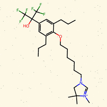 CCCc1cc(C(O)(C(F)(F)F)C(F)(F)F)cc(CCC)c1OCCCCCCN1C=[N+](C)C(C)(C)C1